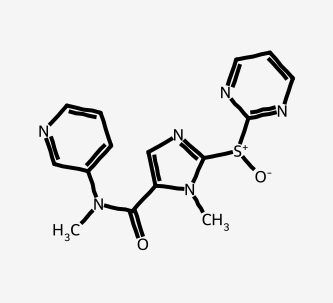 CN(C(=O)c1cnc([S+]([O-])c2ncccn2)n1C)c1cccnc1